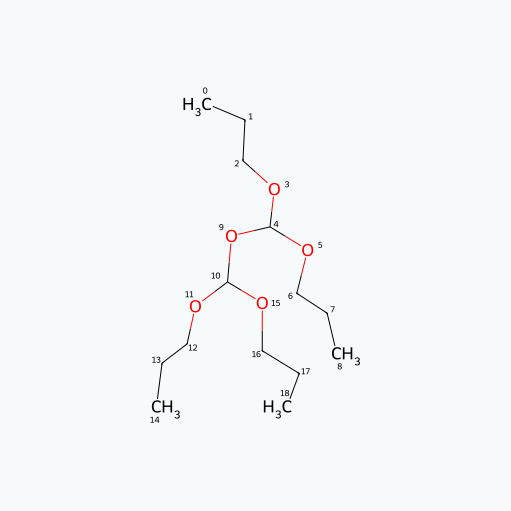 CCCOC(OCCC)OC(OCCC)OCCC